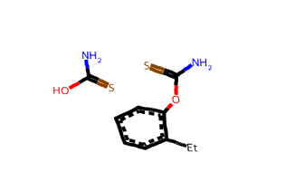 CCc1ccccc1OC(N)=S.NC(O)=S